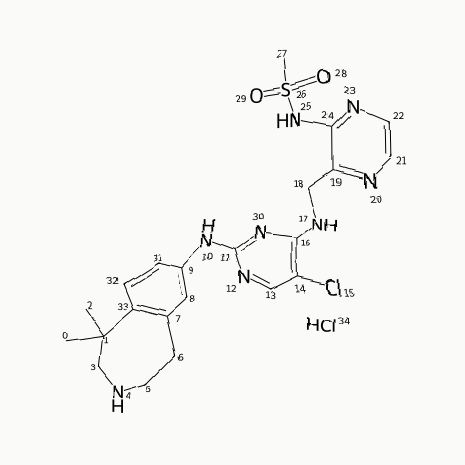 CC1(C)CNCCc2cc(Nc3ncc(Cl)c(NCc4nccnc4NS(C)(=O)=O)n3)ccc21.Cl